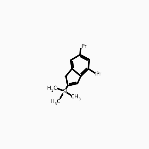 CC(C)c1cc2c(c(C(C)C)c1)C=C([Si](C)(C)C)[CH]2